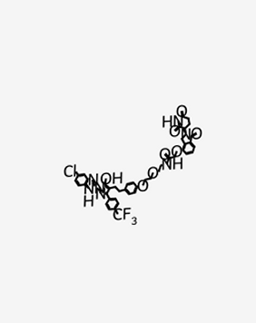 O=C(COc1cccc2c1CN(C1CCC(=O)NC1=O)C2=O)NCCOCCOc1ccc(CCc2c(-c3ccc(C(F)(F)F)cc3)nn(-c3nc4cc(Cl)ccc4[nH]3)c2O)cc1